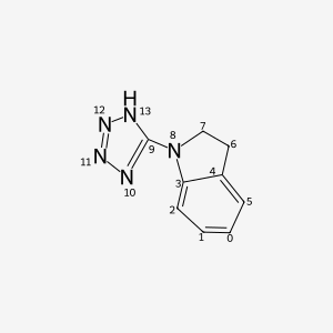 c1ccc2c(c1)CCN2c1nnn[nH]1